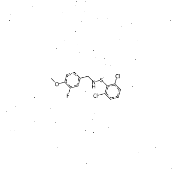 COc1ccc(CNSc2c(Cl)cccc2Cl)cc1F